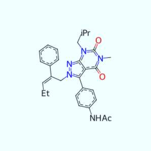 CC/C=C(\Cn1nc2c(c1-c1ccc(NC(C)=O)cc1)c(=O)n(C)c(=O)n2CC(C)C)c1ccccc1